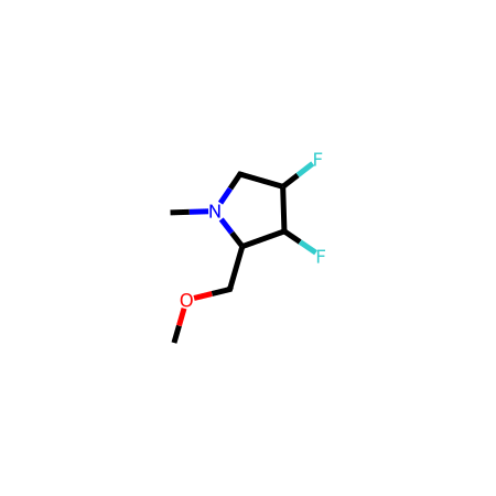 COCC1C(F)C(F)CN1C